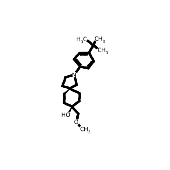 COC[C@]1(O)CC[C@]2(CCN(c3ccc(C(C)(C)C)cc3)C2)CC1